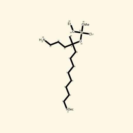 CCCCCCCCCCCCCCCCCCC(C)(CCCN)O[Si](Cl)(OC)OCC